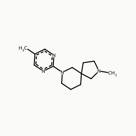 Cc1cnc(N2CCCC3(CCN(C)C3)C2)nc1